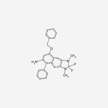 CN1c2cc3c(OCc4ccccc4)cc(N)c(-c4ccccc4)c3cc2N(C)C1(F)F